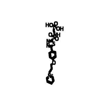 O=P(O)(O)CNS(=O)(=O)c1nnc(-c2ccc(OCCC[n+]3ccccc3)cc2)s1